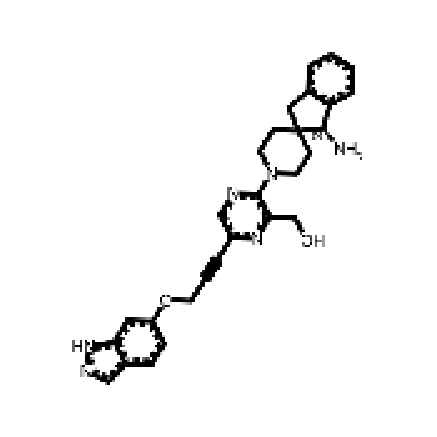 N[C@@H]1c2ccccc2CC12CCN(c1ncc(C#CCOc3ccc4cn[nH]c4c3)nc1CO)CC2